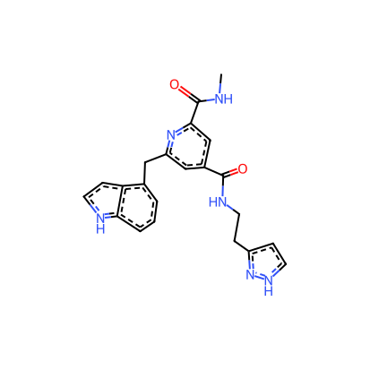 CNC(=O)c1cc(C(=O)NCCc2cc[nH]n2)cc(Cc2cccc3[nH]ccc23)n1